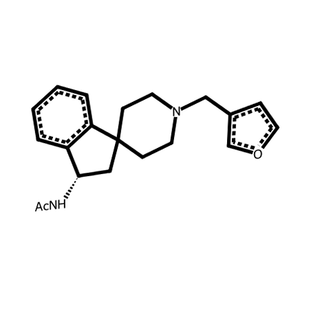 CC(=O)N[C@H]1CC2(CCN(Cc3ccoc3)CC2)c2ccccc21